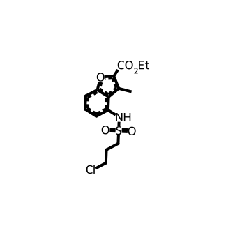 CCOC(=O)c1oc2cccc(NS(=O)(=O)CCCCl)c2c1C